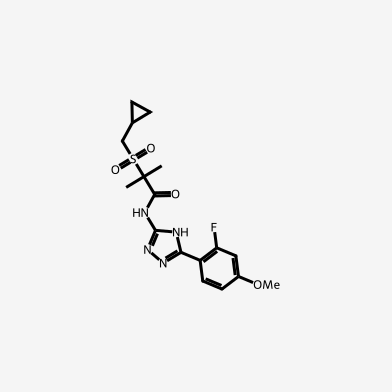 COc1ccc(-c2nnc(NC(=O)C(C)(C)S(=O)(=O)CC3CC3)[nH]2)c(F)c1